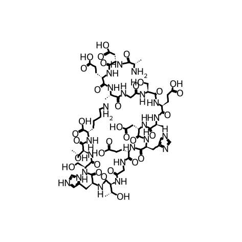 C[C@H](N)C(=O)N[C@@H](CC(=O)O)C(=O)N[C@@H](CCC(=O)O)C(=O)N[C@@H](C)C(=O)NCC(=O)N[C@@H](CO)C(=O)N[C@@H](CCC(=O)O)C(=O)N[C@@H](C)C(=O)N[C@@H](CC(=O)O)C(=O)N[C@@H](Cc1c[nH]cn1)C(=O)N[C@@H](CCC(=O)O)C(=O)NCC(=O)N[C@H](C(=O)N[C@@H](Cc1c[nH]cn1)C(=O)N[C@@H](CO)C(=O)N[C@H](C(=O)N[C@@H](CCCCN)C(=O)O)[C@@H](C)O)[C@@H](C)O